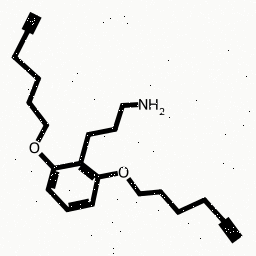 C#CCCCCOc1cccc(OCCCCC#C)c1CCCN